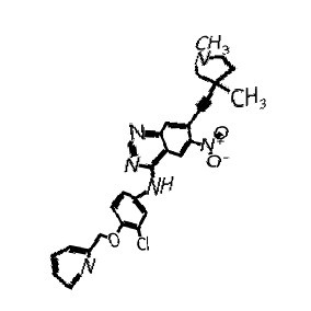 CN1CCC(C)(C#Cc2cc3ncnc(Nc4ccc(OCc5ccccn5)c(Cl)c4)c3cc2[N+](=O)[O-])C1